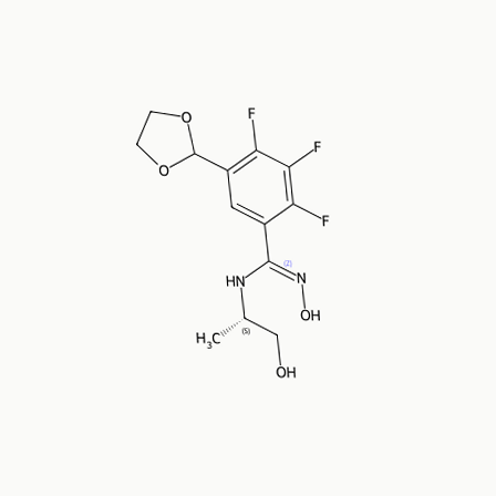 C[C@@H](CO)N/C(=N\O)c1cc(C2OCCO2)c(F)c(F)c1F